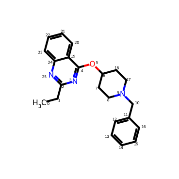 CCc1nc(OC2CCN(Cc3ccccc3)CC2)c2ccccc2n1